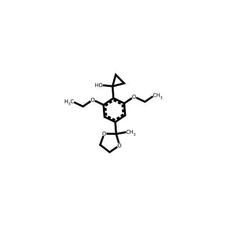 CCOc1cc(C2(C)OCCO2)cc(OCC)c1C1(O)CC1